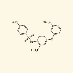 O=C(O)c1cccc(Oc2ccc(NS(=O)(=O)c3ccc([N+](=O)[O-])cc3)c(C(=O)O)c2)c1